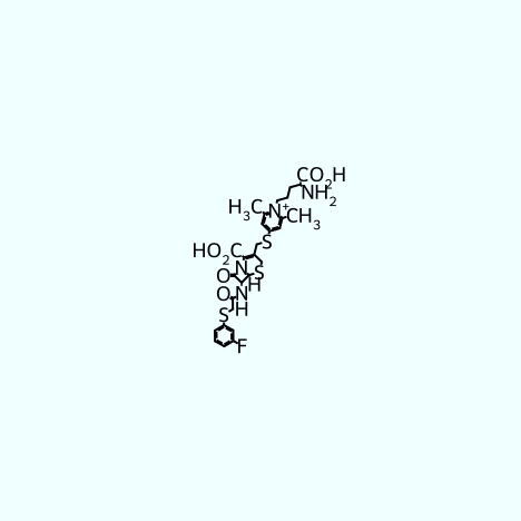 Cc1cc(SCC2=C(C(=O)O)N3C(=O)[C@H](NC(=O)CSc4cccc(F)c4)[C@H]3SC2)cc(C)[n+]1CCC[C@H](N)C(=O)O